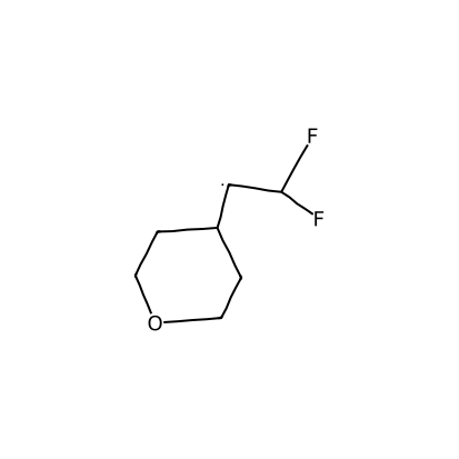 FC(F)[CH]C1CCOCC1